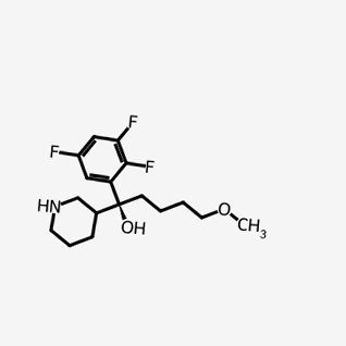 COCCCC[C@@](O)(c1cc(F)cc(F)c1F)C1CCCNC1